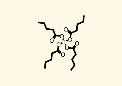 CCCCC(=O)[O][Ti]([O]C(=O)CCCC)([O]C(=O)CCCC)[O]C(=O)CCCC